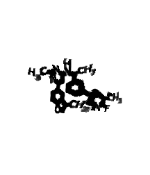 Cc1nc(N[C@@H](C)c2cccc(-c3cnc(F)c(C)c3)c2)cc(-c2ccc3occ(C)c3c2)n1